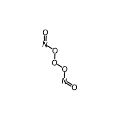 O=NOOON=O